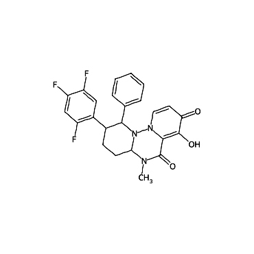 CN1C(=O)c2c(O)c(=O)ccn2N2C(c3ccccc3)C(c3cc(F)c(F)cc3F)CCC12